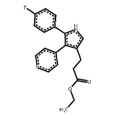 CCOC(=O)CCc1c[nH]c(-c2ccc(F)cc2)c1-c1ccncc1